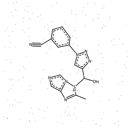 CC1=Nc2cncn2[SH]1C(O)c1cn(-c2cccc(C#N)c2)nn1